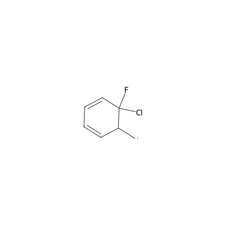 [CH2]C1C=CC=CC1(F)Cl